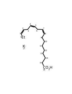 CC/C=C\C/C=C\C/C=C\CCCCCCCC(=O)O.[K]